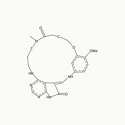 COc1ccc2cc1OCCCC(=O)N(C)CCCNc1ncnc3c1/C(=C\N2)C(=O)N3